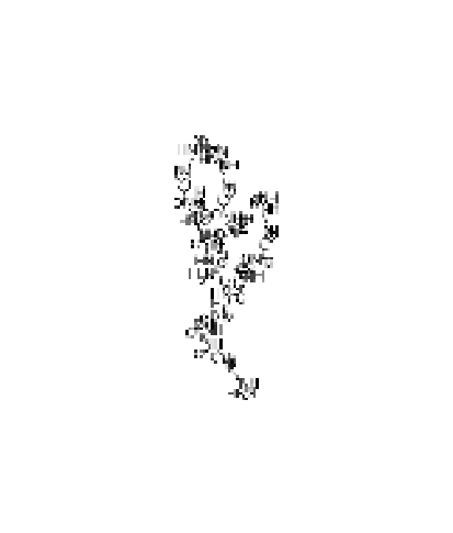 NC(CCC(=O)NC(CCC(=O)NCC(=O)N[C@@H](CNC(=O)c1ccc2c(cnn2CCCNc2ncc[nH]2)c1)C(=O)O)C(=O)NCC(=O)N[C@@H](CNC(=O)c1ccc2c(cnn2CCCNc2ncc[nH]2)c1)C(=O)O)C(=O)NC(CCC(=O)NCC(=O)N[C@@H](CNC(=O)c1ccc2c(cnn2CCCNc2ncc[nH]2)c1)C(=O)O)C(=O)NCC(=O)N[C@@H](CNC(=O)c1ccc2c(cnn2CCCNc2ncc[nH]2)c1)C(=O)O